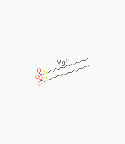 CCCCCCCCCCCCCCCCSCC(=O)[O-].CCCCCCCCCCCCCCCCSCC(=O)[O-].[Mg+2]